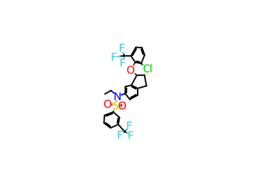 CCN(c1ccc2c(c1)C(Oc1c(Cl)cccc1C(F)(F)F)CC2)S(=O)(=O)c1cccc(C(F)(F)F)c1